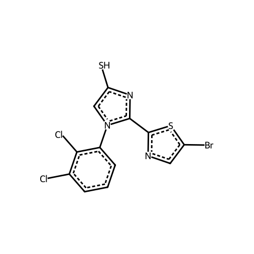 Sc1cn(-c2cccc(Cl)c2Cl)c(-c2ncc(Br)s2)n1